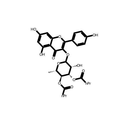 CCCC(=O)O[C@@H]1[C@@H](OC(=O)CCC)[C@@H](O)C(Oc2c(-c3ccc(O)cc3)oc3cc(O)cc(O)c3c2=O)O[C@H]1C